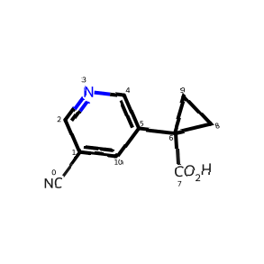 N#Cc1cncc(C2(C(=O)O)CC2)c1